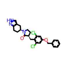 O=C1[C@H](Cc2c(Cl)cc(OCc3ccccc3)cc2Cl)CCN1[C@H]1CCc2n[nH]cc2C1